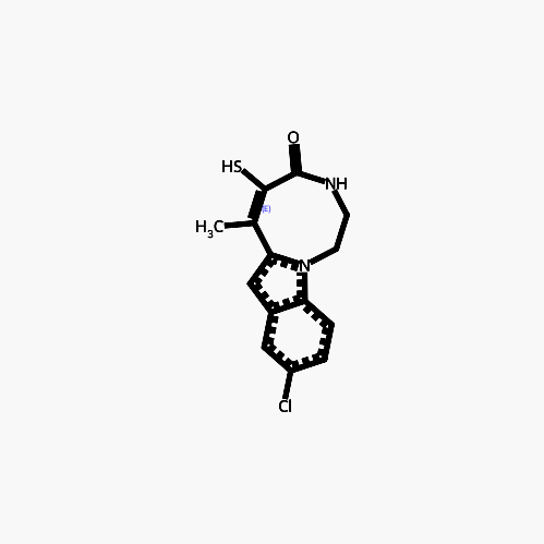 C/C1=C(\S)C(=O)NCCn2c1cc1cc(Cl)ccc12